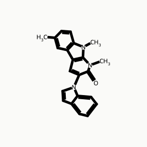 Cc1ccc2c(c1)c1cc(-n3ccc4ccccc43)c(=O)n(C)c1n2C